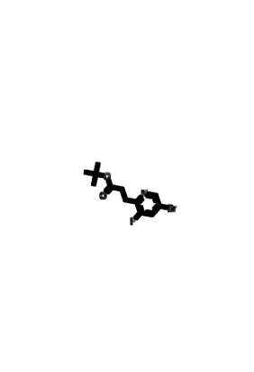 CC(C)(C)OC(=O)CCc1ncc(Br)cc1F